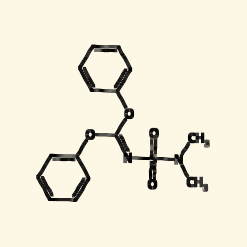 CN(C)S(=O)(=O)N=C(Oc1ccccc1)Oc1ccccc1